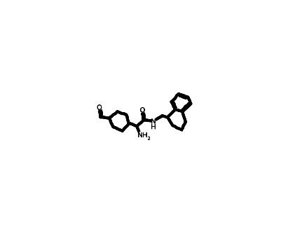 NC(C(=O)NCC1CCCc2ccccc21)C1CCC(C=O)CC1